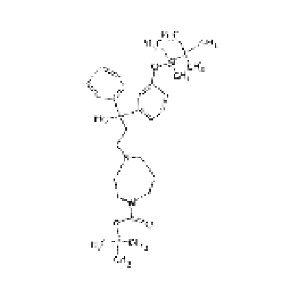 CC(C)(C)OC(=O)N1CCCN(CCC(O)(c2ccccc2)c2cccc(O[Si](C)(C)C(C)(C)C)c2)CC1